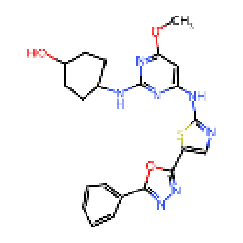 COc1cc(Nc2ncc(-c3nnc(-c4ccccc4)o3)s2)nc(NC2CCC(O)CC2)n1